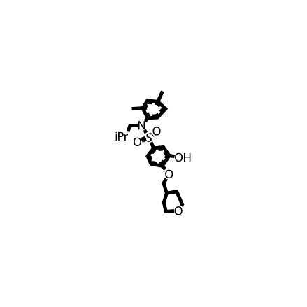 Cc1ccc(N(CC(C)C)S(=O)(=O)c2ccc(OCC3CCOCC3)c(O)c2)c(C)c1